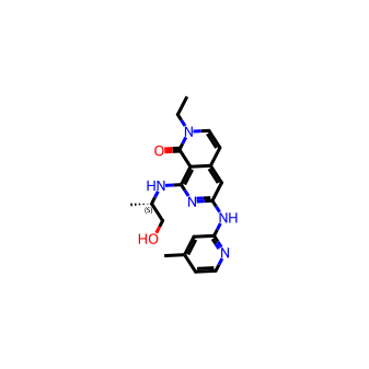 CCn1ccc2cc(Nc3cc(C)ccn3)nc(N[C@@H](C)CO)c2c1=O